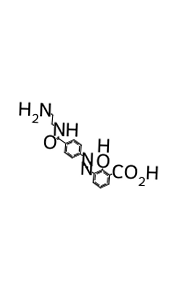 NCCNC(=O)c1ccc(N=Nc2cccc(C(=O)O)c2O)cc1